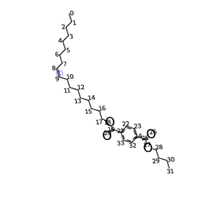 CCCCCCCC/C=C\CCCCCCCCOC(=O)c1ccc(C(=O)OCCCC)cc1